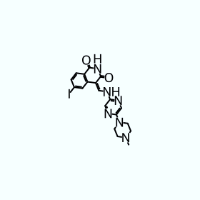 CN1CCN(c2cnc(N/C=C3\C(=O)NC(=O)c4ccc(I)cc43)cn2)CC1